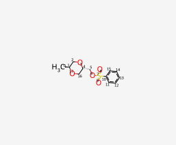 C[C@H]1CO[C@H](COS(=O)(=O)c2ccccc2)CO1